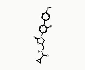 CSc1ccc(-c2ccc(N3CC(CNC(=O)C4CC4)OC3=O)cc2F)cc1